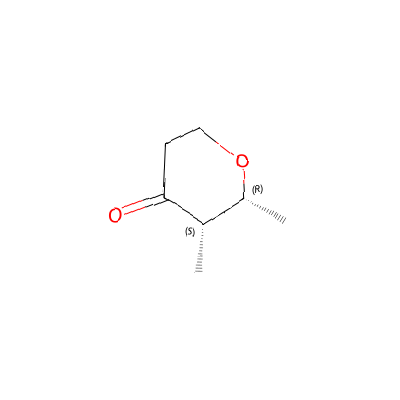 C[C@@H]1C(=O)CCO[C@@H]1C